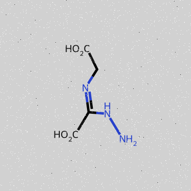 NN/C(=N\CC(=O)O)C(=O)O